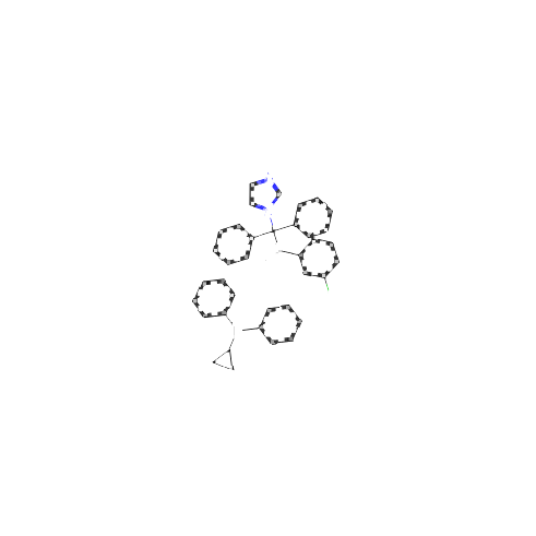 Clc1cccc([SiH2]C(c2ccccc2)(c2ccccc2)n2ccnc2)c1.c1ccc(B(c2ccccc2)C2CC2)cc1